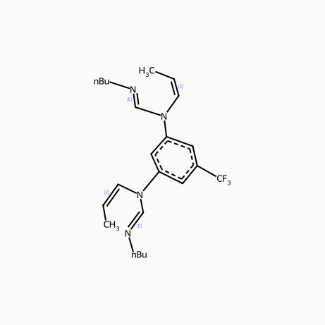 C/C=C\N(/C=N/CCCC)c1cc(N(/C=C\C)/C=N/CCCC)cc(C(F)(F)F)c1